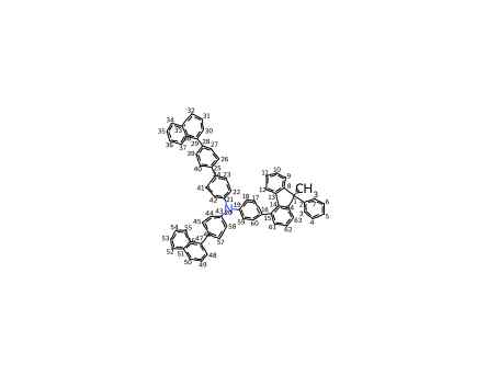 CC1(c2ccccc2)c2ccccc2-c2c(-c3ccc(N(c4ccc(-c5ccc(-c6cccc7ccccc67)cc5)cc4)c4ccc(-c5cccc6ccccc56)cc4)cc3)cccc21